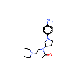 CCN(CC)CCN(C(C)=O)C1CCN(c2ccc(N)cc2)C1